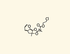 CN(C(=O)OCCCl)C(=O)OC1=C2OC=CC=C2CC1(C)C